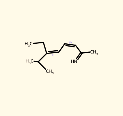 CC/C(=C\C=C/C(C)=N)C(C)C